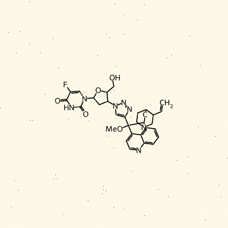 C=CC1CN2CCC1CC2C(OC)(c1cn(C2CC(n3cc(F)c(=O)[nH]c3=O)OC2CO)nn1)c1ccnc2ccccc12